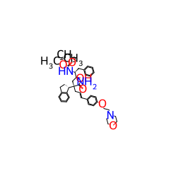 CC(C)(C)OC(=O)N[C@@H](Cc1ccccc1)[C@@H](O)C[C@](CC=Cc1ccc(OCCN2CCOCC2)cc1)(C(N)=O)[C@H]1CCc2ccccc21